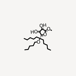 CCCCCOC(CCCCC)(CCCCC)[C@H]1O[C@H](OC)[C@H](O)[C@@H]1O